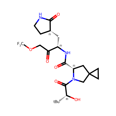 CC(C)(C)[C@@H](O)C(=O)N1CC2(CC2)C[C@H]1C(=O)N[C@@H](C[C@@H]1CCNC1=O)C(=O)COC(F)(F)F